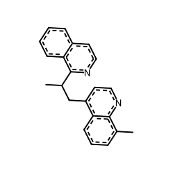 Cc1cccc2c(CC(C)c3nccc4ccccc34)ccnc12